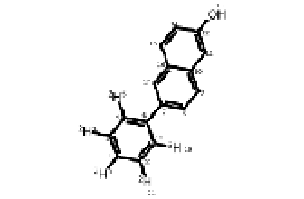 [2H]c1c([2H])c([2H])c(-c2ccc3cc(O)ccc3c2)c([2H])c1[2H]